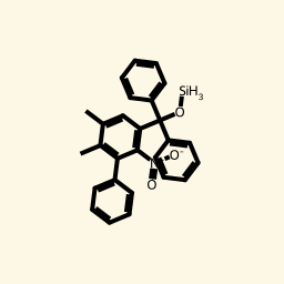 Cc1cc(C(O[SiH3])(c2ccccc2)c2ccccc2)c([N+](=O)[O-])c(-c2ccccc2)c1C